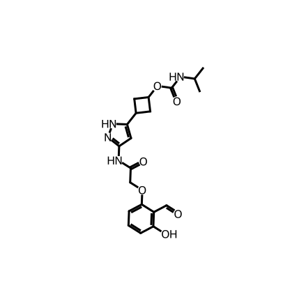 CC(C)NC(=O)OC1CC(c2cc(NC(=O)COc3cccc(O)c3C=O)n[nH]2)C1